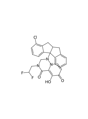 O=C1c2c(O)c(=O)ccn2N(C23c4ccccc4CC2Cc2c(Cl)cccc23)CN1CC(F)F